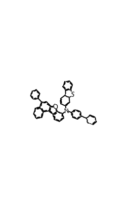 C1=CCC(c2ccc(N(C3=CC4Sc5ccccc5C4C=C3)c3cccc4c3oc3cc(-c5ccccc5)c5ccccc5c34)cc2)C=C1